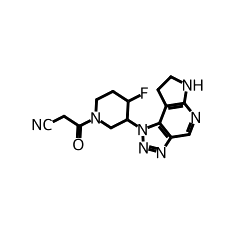 N#CCC(=O)N1CCC(F)C(n2nnc3cnc4c(c32)CCN4)C1